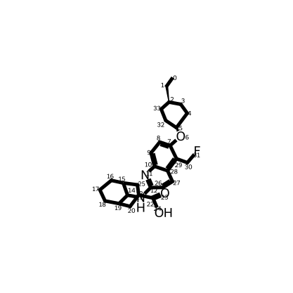 CC[C@H]1CC[C@@H](Oc2ccc3nc(NC4C5CCCC4CC(C(=O)O)C5)ccc3c2CF)CC1